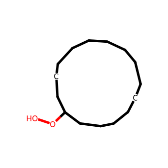 OOC1CCCCCCCCCCCCCC1